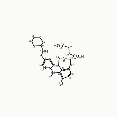 CN(c1ccc(CNC2CCCCC2)cn1)c1c(Cl)ccc2c1CCNCC2.O=C(O)CCC(=O)O